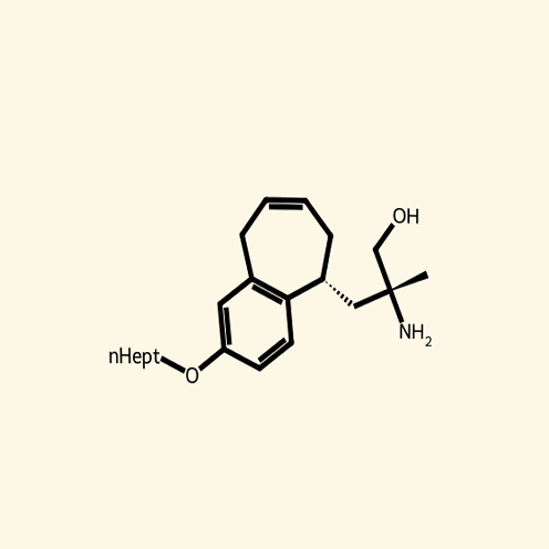 CCCCCCCOc1ccc2c(c1)CC=CC[C@@H]2C[C@@](C)(N)CO